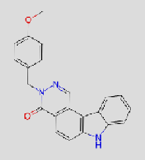 COc1ccc(Cn2ncc3c(ccc4[nH]c5ccccc5c43)c2=O)cc1